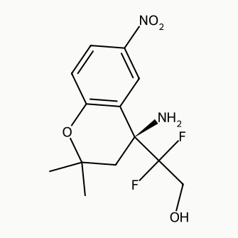 CC1(C)C[C@@](N)(C(F)(F)CO)c2cc([N+](=O)[O-])ccc2O1